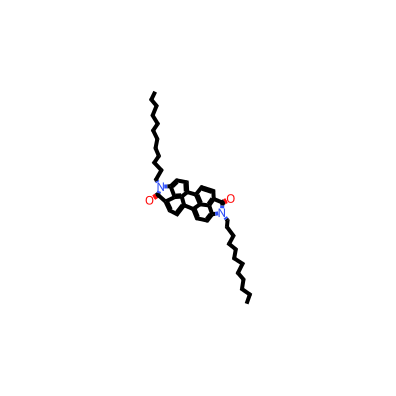 CCCCCCCCCCCCN1C(=O)c2ccc3c4ccc5c6c(ccc(c7ccc1c2c37)c64)C(=O)N5CCCCCCCCCCCC